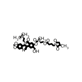 CC1CC(=O)N(CCCC(=O)OCCN(C)C(=O)Oc2cc3c(=O)n(CCN(C)C)c4c5cc6c(cc5ncc4c3cc2CO)OCO6)C1=O